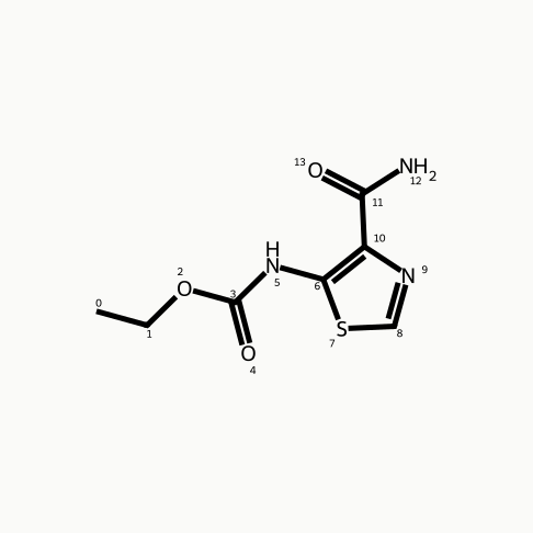 CCOC(=O)Nc1scnc1C(N)=O